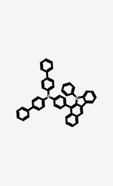 c1ccc(-c2ccc(N(c3ccc(-c4ccccc4)cc3)c3ccc(-c4c5ccccc5cc5c6ccccc6n(-c6ccccc6)c45)cc3)cc2)cc1